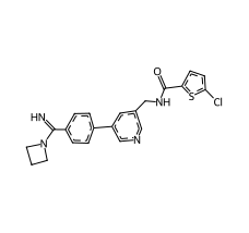 N=C(c1ccc(-c2cncc(CNC(=O)c3ccc(Cl)s3)c2)cc1)N1CCC1